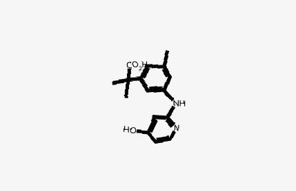 Cc1cc(Nc2cc(O)ccn2)cc(C(C)(C)C(=O)O)c1